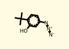 CC(C)(C)c1ccc(N=[N+]=[N-])cc1O